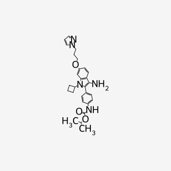 CC(C)OC(=O)Nc1ccc(-c2c(N)c3ccc(OCCCn4cccn4)cc3n2C2CCC2)cc1